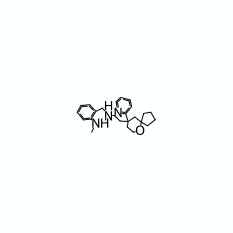 CNc1ccccc1CNCCC1(c2ccccn2)CCOC2(CCCC2)C1